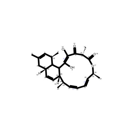 CC1=C[C@@H](C)C2C3/C(O)=C(\Cl)C(=O)[C@H](C)C(=O)O[C@@H](C)/C=C/C=C\[C@@H](C)[C@@H]3C=C[C@@H]2C1